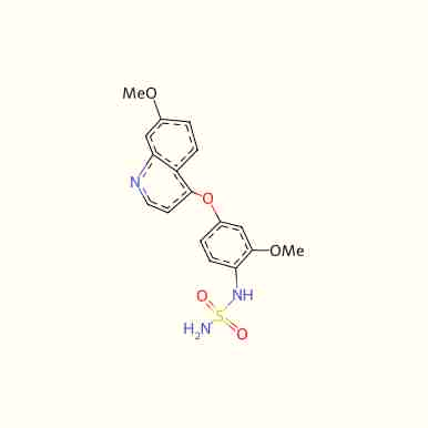 COc1ccc2c(Oc3ccc(NS(N)(=O)=O)c(OC)c3)ccnc2c1